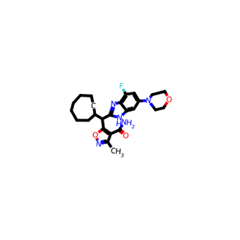 Cc1noc(C(c2nc3c(F)cc(N4CCOCC4)cc3[nH]2)C2CCCCCCC2)c1C(N)=O